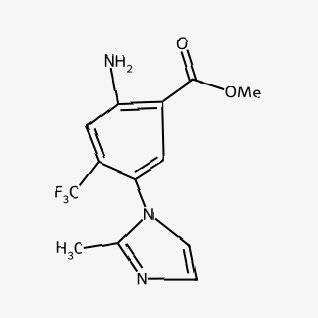 COC(=O)c1cc(-n2ccnc2C)c(C(F)(F)F)cc1N